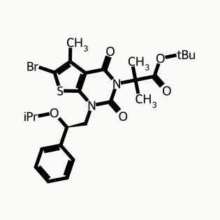 Cc1c(Br)sc2c1c(=O)n(C(C)(C)C(=O)OC(C)(C)C)c(=O)n2C[C@H](OC(C)C)c1ccccc1